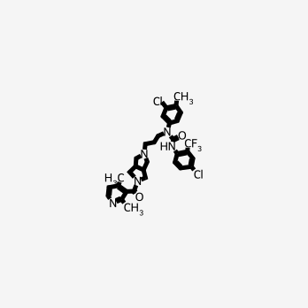 Cc1ccc(N(CCCN2CC3CN(C(=O)c4c(C)ccnc4C)CC3C2)C(=O)Nc2ccc(Cl)cc2C(F)(F)F)cc1Cl